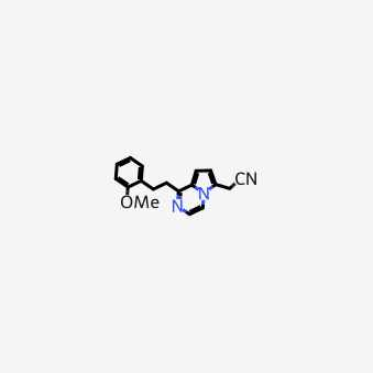 COc1ccccc1CCc1nccn2c(CC#N)ccc12